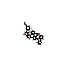 N#Cc1ccc(-n2c3ccccc3c3cc(C#N)ccc32)c(-c2ccccc2-c2ccc(-n3c4ccccc4c4ccccc43)c(C#N)c2)c1